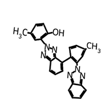 Cc1ccc(O)c(-n2nc3cccc(-c4ccc(C)cc4-n4nc5ccccc5n4)c3n2)c1